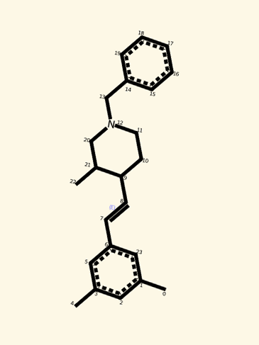 Cc1cc(C)cc(/C=C/C2CCN(Cc3ccccc3)CC2C)c1